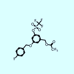 CC(=O)OCc1cc(OCc2ccc(F)cc2)cc(OS(=O)(=O)C(F)(F)F)c1